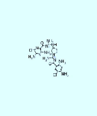 N/C(=N\C(=O)c1nc(Cl)c(N)nc1N)N[C@H]1CCN(/C(N)=N/C(=O)c2cc(Cl)c(N)cc2N)C1